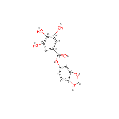 O=C(Oc1ccc2c(c1)OCO2)c1cc(O)c(O)c(O)c1